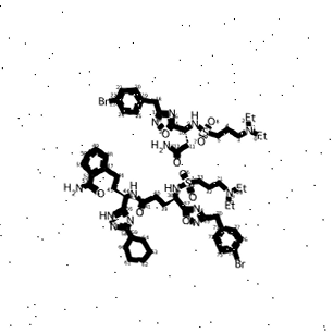 CCN(CC)CCCS(=O)(=O)N[C@H](CC(N)=O)c1nc(Cc2ccc(Br)cc2)no1.CCN(CC)CCCS(=O)(=O)N[C@H](CCC(=O)N[C@H](CCc1ccccc1C(N)=O)c1nc(C2CCCCC2)n[nH]1)c1nc(Cc2ccc(Br)cc2)no1